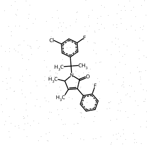 CC1=C(c2ccccc2F)C(=O)N(C(C)(C)c2cc(F)cc(Cl)c2)C1C